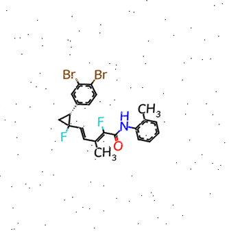 CC(C=CC1(F)C[C@@H]1c1ccc(Br)c(Br)c1)=C(F)C(=O)Nc1ccccc1C